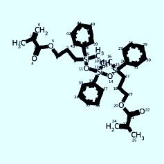 C=C(C)C(=O)OCCC[Si](C)(O[Si](C)(O[Si](C)(CCCOC(=O)C(=C)C)c1ccccc1)c1ccccc1)c1ccccc1